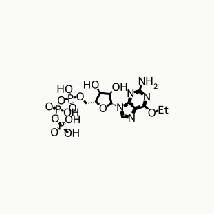 CCOc1nc(N)nc2c1ncn2[C@@H]1O[C@H](COP(=O)(O)OP(=O)(O)OP(=O)(O)O)[C@@H](O)[C@H]1O